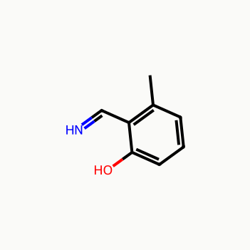 Cc1cccc(O)c1C=N